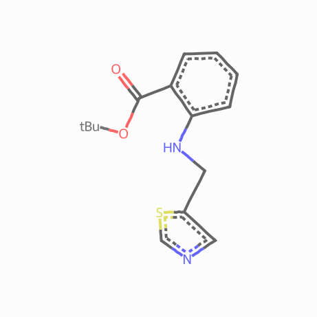 CC(C)(C)OC(=O)c1ccccc1NCc1cncs1